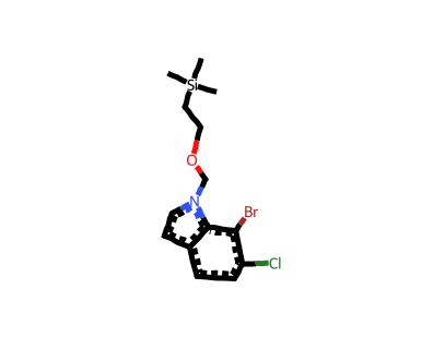 C[Si](C)(C)CCOCn1ccc2ccc(Cl)c(Br)c21